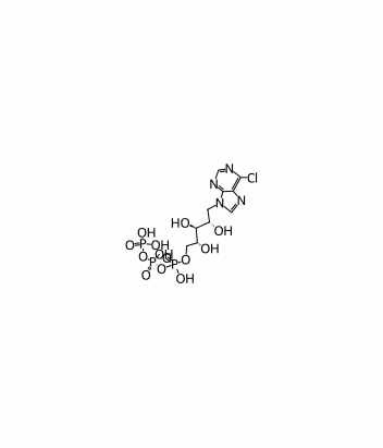 O=P(O)(O)OP(=O)(O)OP(=O)(O)OC[C@@H](O)[C@@H](O)[C@@H](O)Cn1cnc2c(Cl)ncnc21